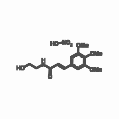 COc1cc(/C=C/C(=O)NCCO)cc(OC)c1OC.O=[N+]([O-])O